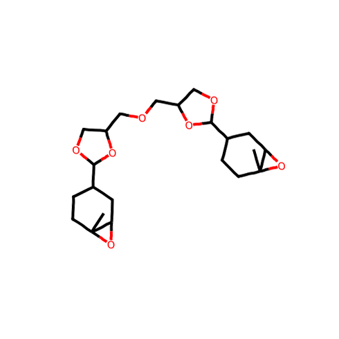 CC12CCC(C3OCC(COCC4COC(C5CCC6(C)OC6C5)O4)O3)CC1O2